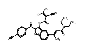 CCN(CC)C(=O)C=C(C)c1ccc2oc(C(=O)c3ccc(C#N)cc3)c(NC(=O)C(C#N)=C(C)O)c2c1